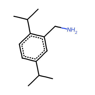 CC(C)c1ccc(C(C)C)c(CN)c1